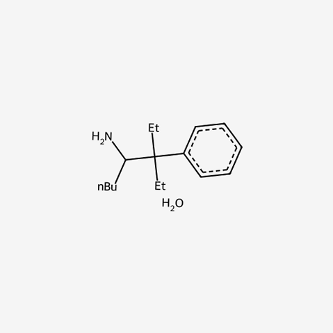 CCCCC(N)C(CC)(CC)c1ccccc1.O